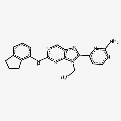 CCn1c(-c2ccnc(N)n2)nc2cnc(Nc3cccc4c3CCC4)nc21